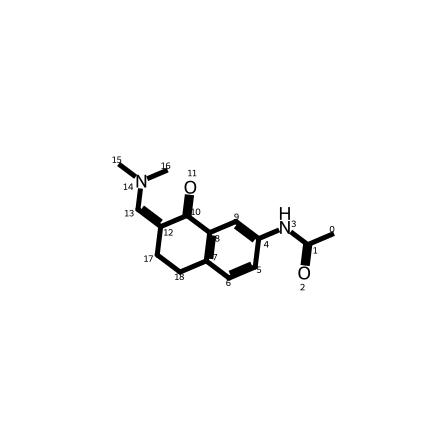 CC(=O)Nc1ccc2c(c1)C(=O)C(=CN(C)C)CC2